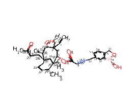 C=C[C@]1(C)C[C@@H](OC(=O)CNCc2ccc3c(c2)B(O)OC3)[C@@]2(C)C[C@](CCC(C)=O)(CC[C@H]2C)[C@@H](C)[C@@H]1O